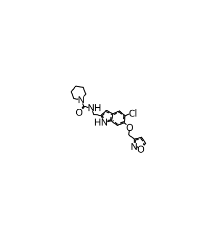 O=C(NCc1cc2cc(Cl)c(OCc3ccon3)cc2[nH]1)N1CCCCC1